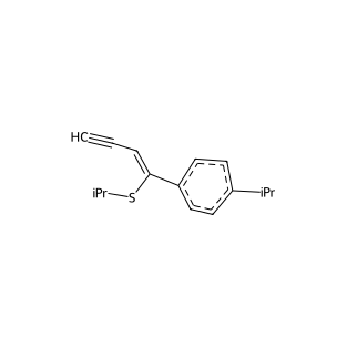 C#CC=C(SC(C)C)c1ccc(C(C)C)cc1